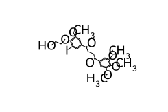 COc1cc(C(=O)CCC(=O)c2cc(OC)c(OC)c(OC)c2)cc(I)c1OCCO